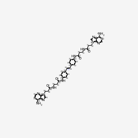 Nc1ncnc2c1ncn2CCC(=O)NCCC(=O)Nc1ccc(/C=C/c2ccc(NC(=O)CCNC(=O)CCn3cnc4c(N)ncnc43)cc2)cc1